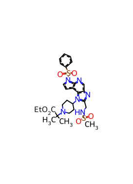 CCOC(=O)C(C)(C)N1CCC(n2c(CNS(C)(=O)=O)nc3cnc4c(ccn4S(=O)(=O)c4ccccc4)c32)CC1